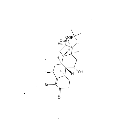 CC1(C)O[C@@H]2C[C@H]3[C@@H]4C[C@H](F)C5=C(Br)C(=O)CC[C@]5(C)[C@H]4[C@@H](O)C[C@]3(C)[C@]2(C(=O)O)O1